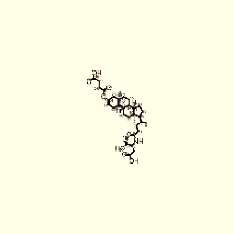 CC(CCC(=O)N[C@@H](CC(=O)O)C(=O)O)C1CC[C@H]2C3CC[C@@H]4C[C@H](OC(=O)CCC(=O)O)CC[C@]4(C)[C@@H]3CC[C@]12C